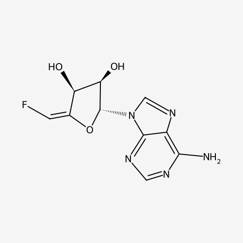 Nc1ncnc2c1ncn2[C@@H]1O/C(=C/F)[C@@H](O)[C@H]1O